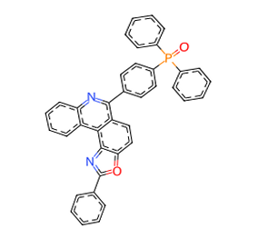 O=P(c1ccccc1)(c1ccccc1)c1ccc(-c2nc3ccccc3c3c2ccc2oc(-c4ccccc4)nc23)cc1